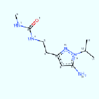 CNC(=O)NCCc1cc(N)n(C(C)C)n1